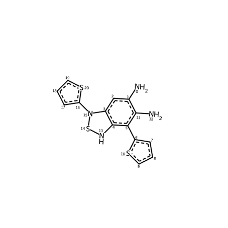 Nc1cc2c(c(-c3cccs3)c1N)NSN2c1cccs1